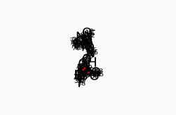 C=C(F)C(=O)N1CCN(c2nc(OC[C@@H]3CCCN3CCCOCCOCCN(C)C(=O)N3N=C(c4cc(F)ccc4F)SC3(CCCNC(=O)OC(C)(C)C)c3ccccc3)nc3c2CCN(c2cccc4cccc(Cl)c24)C3)C[C@@H]1CC#N